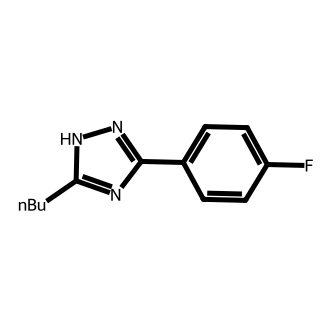 CCCCc1nc(-c2ccc(F)cc2)n[nH]1